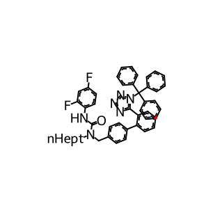 CCCCCCCN(Cc1ccc(-c2ccccc2-c2nnnn2C(c2ccccc2)(c2ccccc2)c2ccccc2)cc1)C(=O)Nc1ccc(F)cc1F